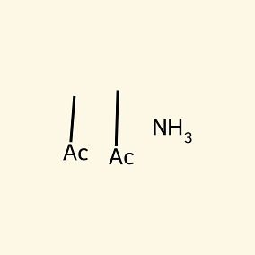 CC(C)=O.CC(C)=O.N